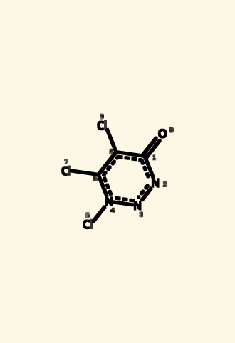 O=c1nnn(Cl)c(Cl)c1Cl